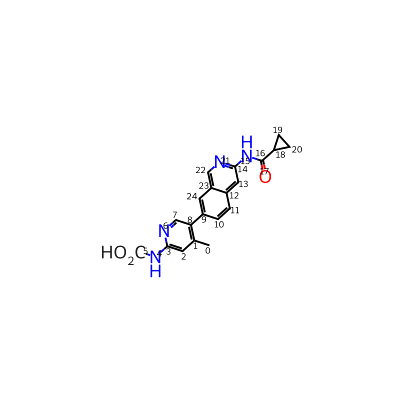 Cc1cc(NC(=O)O)ncc1-c1ccc2cc(NC(=O)C3CC3)ncc2c1